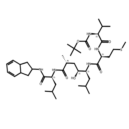 CSCC[C@H](NC(=O)[C@@H](NC(=O)OC(C)(C)C)C(C)C)C(=O)N[C@@H](CC(C)C)[C@@H](O)C[C@@H](C)C(=O)N[C@@H](CC(C)C)C(=O)NC1CC2C=CC=CC2C1